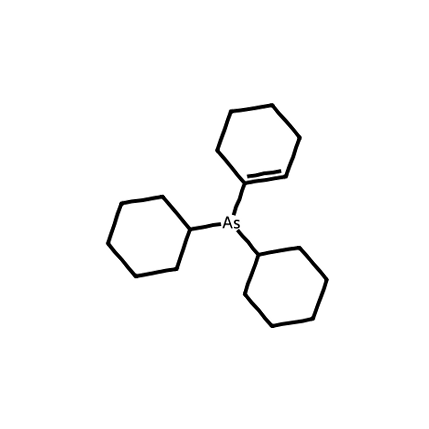 C1=C([As](C2CCCCC2)C2CCCCC2)CCCC1